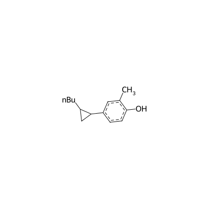 CCCCC1CC1c1ccc(O)c(C)c1